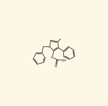 Cc1cn(Cc2ccccc2)c(OC(=O)O)c1-c1ccccc1